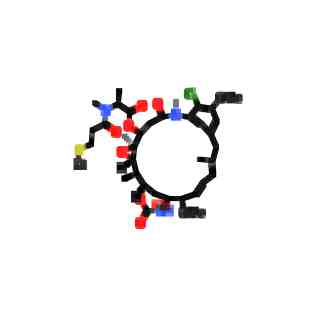 CCSCCC(=O)N(C)[C@@H](C)C(=O)O[C@H]1CC(=O)N(C)c2cc(cc(OC)c2Cl)C/C(C)=C/C=C/[C@@H](OC)[C@@]2(O)C[C@H](OC(=O)N2)[C@@H](C)[C@@H]2O[C@@]12C